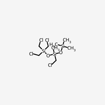 C[Si](C)(C)O[Si](C)(CCl)O[Si](CCl)(CCl)CCl